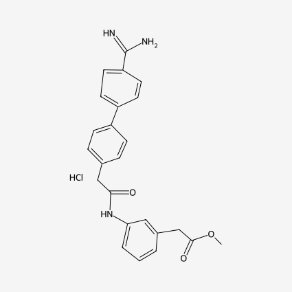 COC(=O)Cc1cccc(NC(=O)Cc2ccc(-c3ccc(C(=N)N)cc3)cc2)c1.Cl